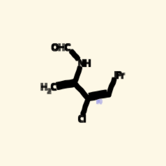 C=C(NC=O)/C(Cl)=C\C(C)C